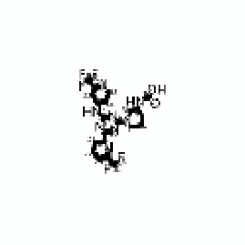 O=C(O)NC1CCCN(c2nc(Nc3ccnc(C(F)(F)F)c3)nc(-c3cccc(C(F)(F)F)n3)n2)C1